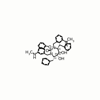 CNc1cccc(CN2[C@@H](Cc3ccccc3)[C@@H](O)[C@H](O)[C@H](Cc3ccccc3)N(Cc3cccc(NC)c3)P2(=O)Oc2ccccc2)c1